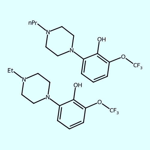 CCCN1CCN(c2cccc(OC(F)(F)F)c2O)CC1.CCN1CCN(c2cccc(OC(F)(F)F)c2O)CC1